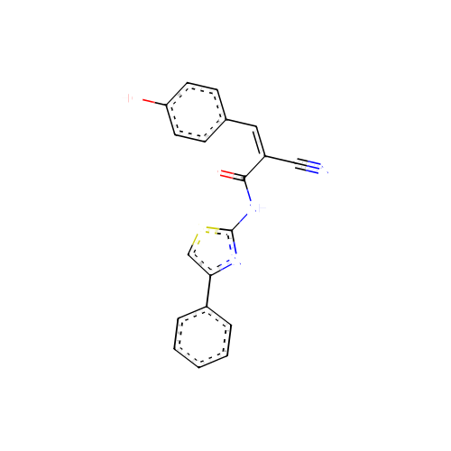 N#CC(=Cc1ccc(O)cc1)C(=O)Nc1nc(-c2ccccc2)cs1